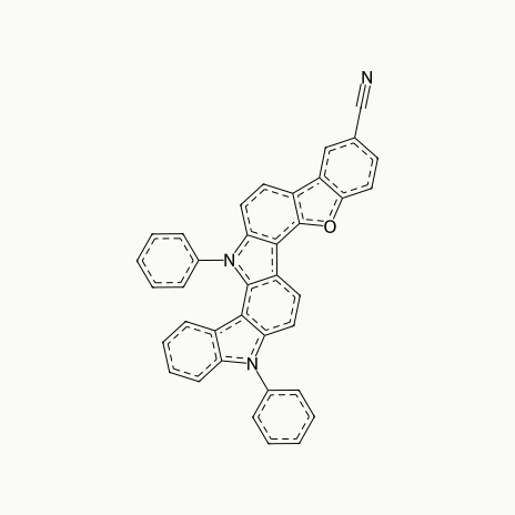 N#Cc1ccc2oc3c(ccc4c3c3ccc5c(c6ccccc6n5-c5ccccc5)c3n4-c3ccccc3)c2c1